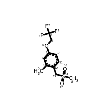 Cc1cc(OCC(F)(F)F)c[c]c1CS(C)(=O)=O